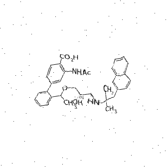 CC(=O)Nc1cc(-c2ccccc2C(C)OC[C@@H](O)CNC(C)(C)Cc2ccc3ccccc3c2)ccc1C(=O)O